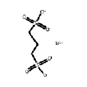 O=S(=O)([O-])CCCS(=O)(=O)[O-].[Sr+2]